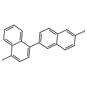 Cc1ccc(-c2ccc3cc(I)ccc3c2)c2ccccc12